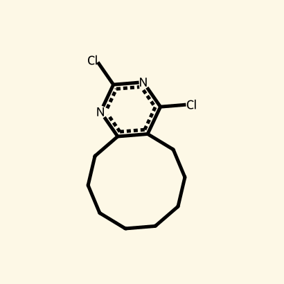 Clc1nc(Cl)c2c(n1)CCCCCCCC2